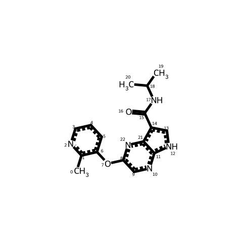 Cc1ncccc1Oc1cnc2[nH]cc(C(=O)NC(C)C)c2n1